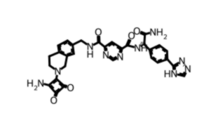 NC(=O)[C@H](NC(=O)c1cc(C(=O)NCc2ccc3c(c2)CN(c2c(N)c(=O)c2=O)CC3)ncn1)c1ccc(-c2nnc[nH]2)cc1